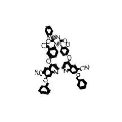 CNC(=O)N(c1ccc(Oc2ccnc3cc(OCc4ccccc4)c(C#N)cc23)cc1Cl)N(C(=O)Oc1ccccc1)c1ccc(Oc2ccnc3cc(OCc4ccccc4)c(C#N)cc23)cc1Cl